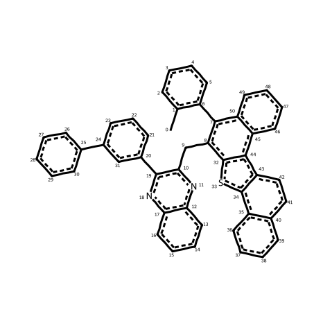 Cc1ccccc1-c1c(Cc2nc3ccccc3nc2-c2cccc(-c3ccccc3)c2)c2sc3c4ccccc4ccc3c2c2ccccc12